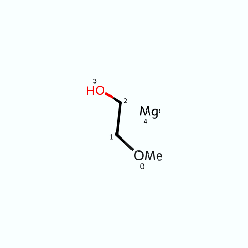 COCCO.[Mg]